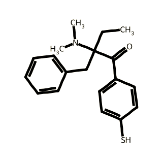 CCC(Cc1ccccc1)(C(=O)c1ccc(S)cc1)N(C)C